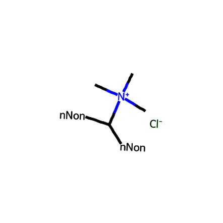 CCCCCCCCCC(CCCCCCCCC)[N+](C)(C)C.[Cl-]